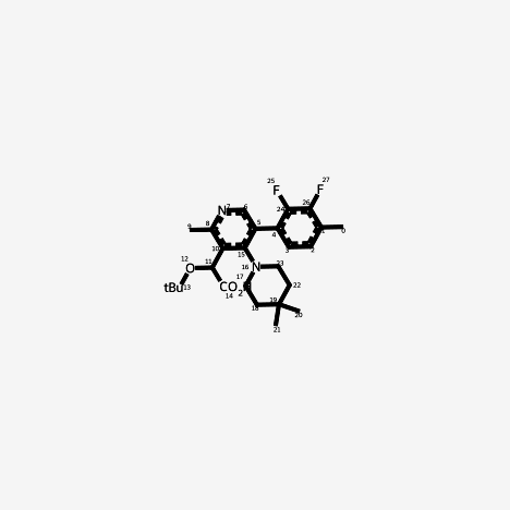 Cc1ccc(-c2cnc(C)c(C(OC(C)(C)C)C(=O)O)c2N2CCC(C)(C)CC2)c(F)c1F